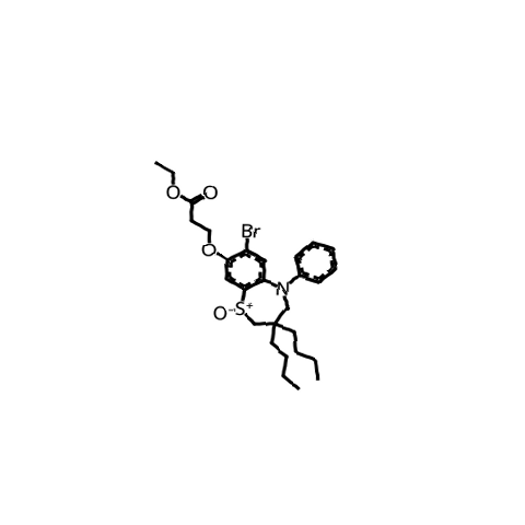 CCCCC1(CCCC)CN(c2ccccc2)c2cc(Br)c(OCCC(=O)OCC)cc2[S+]([O-])C1